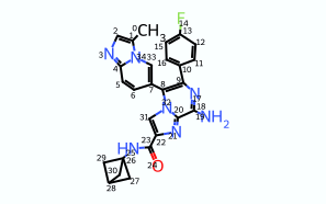 Cc1cnc2ccc(-c3c(-c4ccc(F)cc4)nc(N)c4nc(C(=O)NC56CC(C5)C6)cn34)cn12